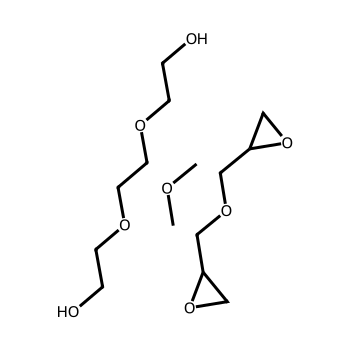 C(OCC1CO1)C1CO1.COC.OCCOCCOCCO